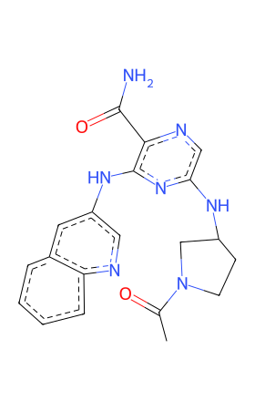 CC(=O)N1CCC(Nc2cnc(C(N)=O)c(Nc3cnc4ccccc4c3)n2)C1